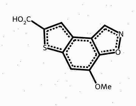 COc1cc2sc(C(=O)O)cc2c2cnoc12